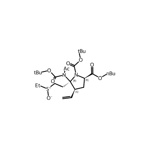 C=C[C@@H]1C[C@H](C(=O)OCCCC)N(C(=O)OC(C)(C)C)[C@]1(CC[S+]([O-])CC)N(C(C)=O)C(=O)OC(C)(C)C